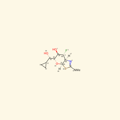 CNC1=N[C@@H]2[C@@H](F)[C@H](O)[C@@H]([C@@H](O)C3CC3)O[C@@H]2S1